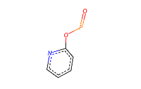 O=POc1ccccn1